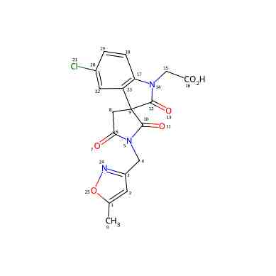 Cc1cc(CN2C(=O)CC3(C2=O)C(=O)N(CC(=O)O)c2ccc(Cl)cc23)no1